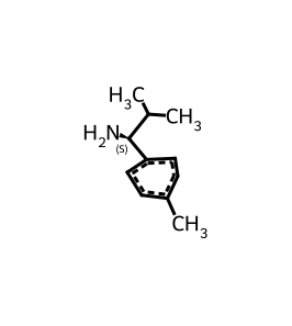 Cc1ccc([C@@H](N)C(C)C)cc1